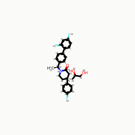 C[C@@H](c1ccc(-c2ccc(F)cc2F)cc1)N1CC[C@](CC(O)CO)(c2ccc(F)cc2)CC1=O